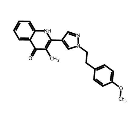 Cc1c(-c2cnn(CCc3ccc(OC(F)(F)F)cc3)c2)[nH]c2ccccc2c1=O